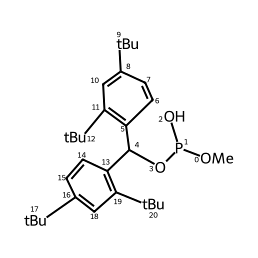 COP(O)OC(c1ccc(C(C)(C)C)cc1C(C)(C)C)c1ccc(C(C)(C)C)cc1C(C)(C)C